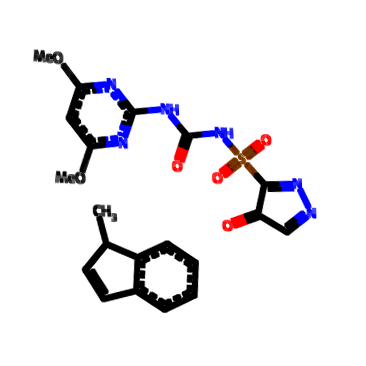 CC1C=Cc2ccccc21.COc1cc(OC)nc(NC(=O)NS(=O)(=O)C2=NN=CC2=O)n1